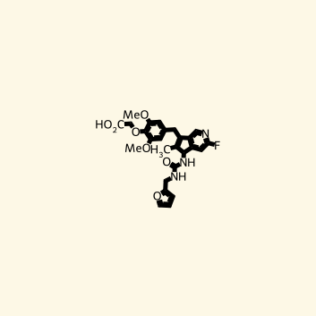 COc1cc(CC2=C(C)C(NC(=O)NCc3ccco3)c3cc(F)ncc32)cc(OC)c1OCC(=O)O